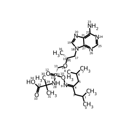 CC(C)CC(CC(C)C)=NO[P@@](=O)(CO[C@H](C)Cn1cnc2c(N)ncnc21)NC(C)(C)C(=O)O